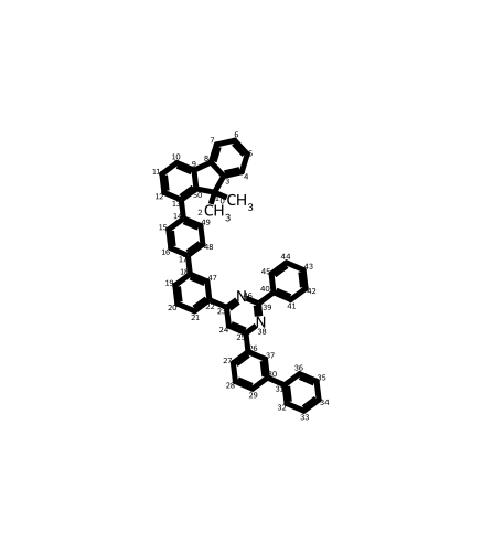 CC1(C)c2ccccc2-c2cccc(-c3ccc(-c4cccc(-c5cc(-c6cccc(-c7ccccc7)c6)nc(-c6ccccc6)n5)c4)cc3)c21